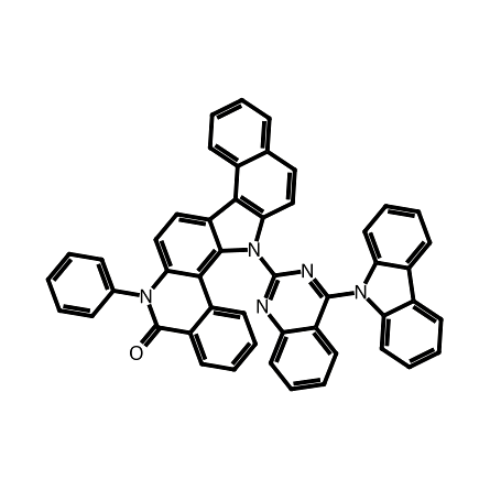 O=c1c2ccccc2c2c(ccc3c4c5ccccc5ccc4n(-c4nc(-n5c6ccccc6c6ccccc65)c5ccccc5n4)c32)n1-c1ccccc1